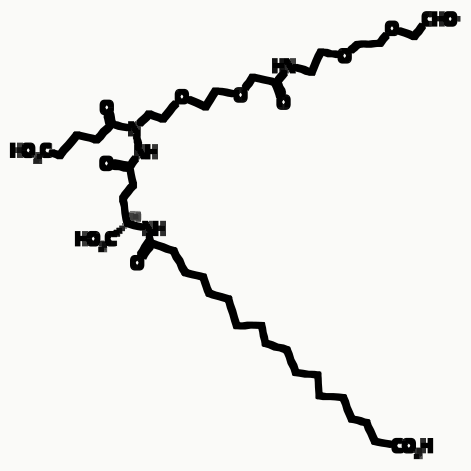 O=[C]COCCOCCNC(=O)COCCOCCN(NC(=O)CC[C@H](NC(=O)CCCCCCCCCCCCCCCCC(=O)O)C(=O)O)C(=O)CCCC(=O)O